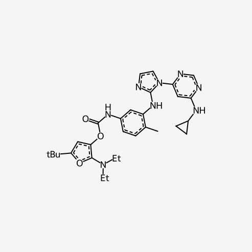 CCN(CC)c1oc(C(C)(C)C)cc1OC(=O)Nc1ccc(C)c(Nc2nccn2-c2cc(NC3CC3)ncn2)c1